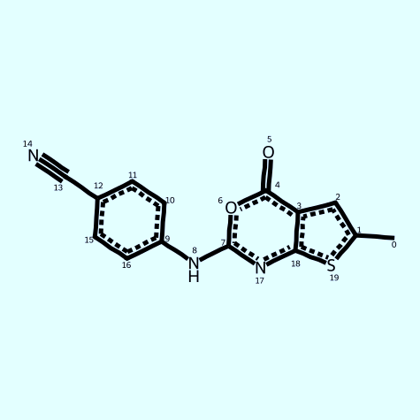 Cc1cc2c(=O)oc(Nc3ccc(C#N)cc3)nc2s1